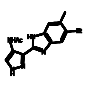 CCc1cc2nc(-c3n[nH]cc3NC(C)=O)[nH]c2cc1C